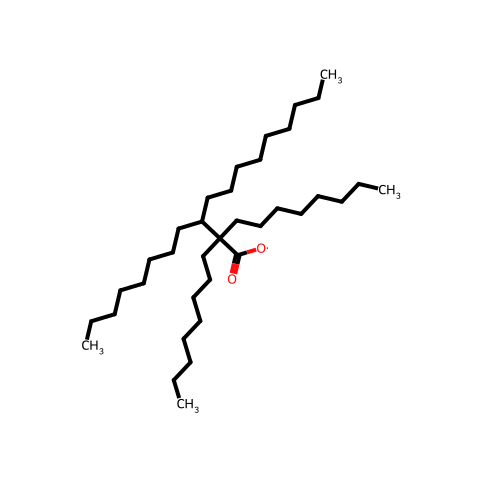 CCCCCCCCCC(CCCCCCCC)C(CCCCCCCC)(CCCCCCCC)C([O])=O